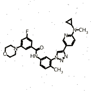 Cc1ccc(NC(=O)c2cc(F)cc(N3CCOCC3)c2)cc1-n1cc(-c2ccc(N(C)C3CC3)nc2)nn1